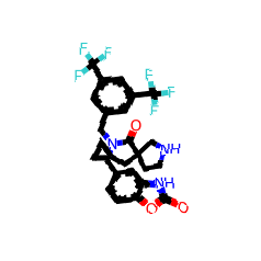 O=C(N(Cc1cc(C(F)(F)F)cc(C(F)(F)F)c1)Cc1ccc2oc(=O)[nH]c2c1)C1(CC2CC2)CCNC1